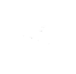 O=C([O-])C12CC(C(=O)[O-])(C1)C2.[Na+].[Na+]